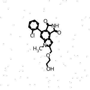 Cn1c(COCCO)cc2c3c(c(-c4ccccc4Cl)cc21)C(=O)NC3=O